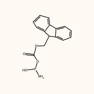 NP(O)OC(=O)OCC1c2ccccc2-c2ccccc21